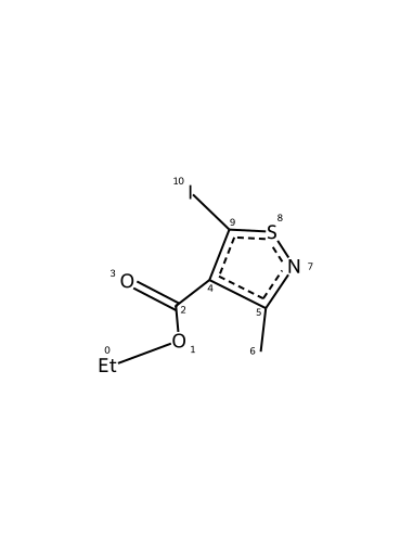 CCOC(=O)c1c(C)nsc1I